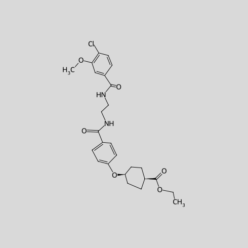 CCOC(=O)[C@H]1CC[C@@H](Oc2ccc(C(=O)NCCNC(=O)c3ccc(Cl)c(OC)c3)cc2)CC1